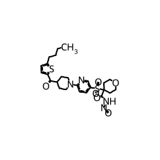 CCCCc1ccc(C(=O)C2CCN(c3ccc(S(=O)(=O)C4(C(=O)NN=O)CCOCC4)cn3)CC2)s1